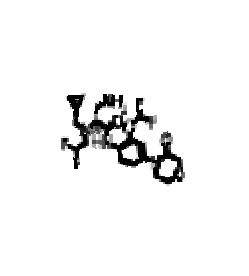 NC[C@H](C(=O)Nc1ccc(N2CCOCC2=O)cc1OC(F)F)N(CC(F)F)CC1CC1